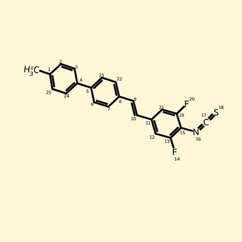 Cc1ccc(-c2ccc(C=Cc3cc(F)c(N=C=S)c(F)c3)cc2)cc1